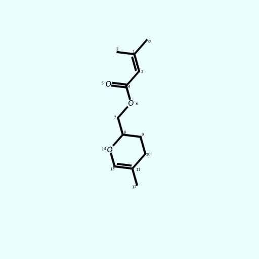 CC(C)=CC(=O)OCC1CCC(C)=CO1